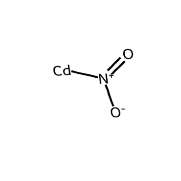 O=[N+]([O-])[Cd]